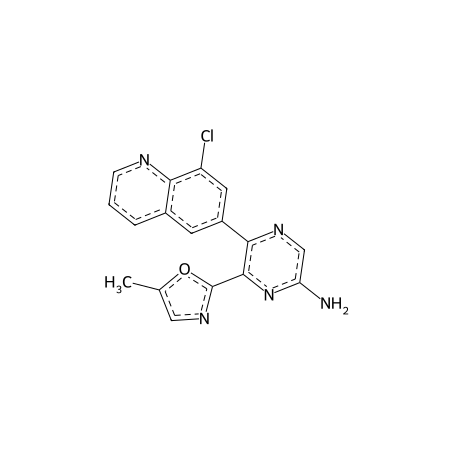 Cc1cnc(-c2nc(N)cnc2-c2cc(Cl)c3ncccc3c2)o1